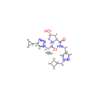 CC(C)(C)[C@@H](C(=O)N1CC(O)CC1C(=O)NCc1cnn(CC2CCC2)c1)n1cc(C2CC2)nn1